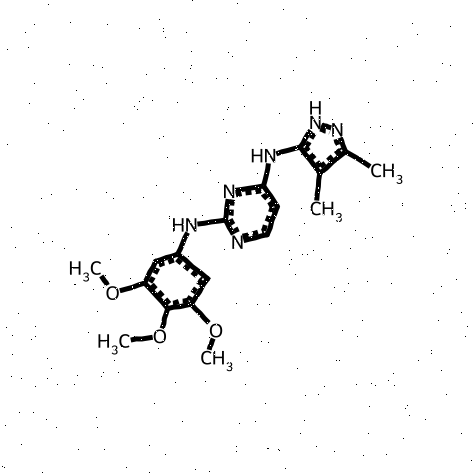 COc1cc(Nc2nccc(Nc3[nH]nc(C)c3C)n2)cc(OC)c1OC